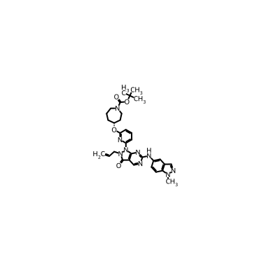 C=CCn1c(=O)c2cnc(Nc3ccc4c(cnn4C)c3)nc2n1-c1cccc(O[C@@H]2CCCN(C(=O)OC(C)(C)C)CC2)n1